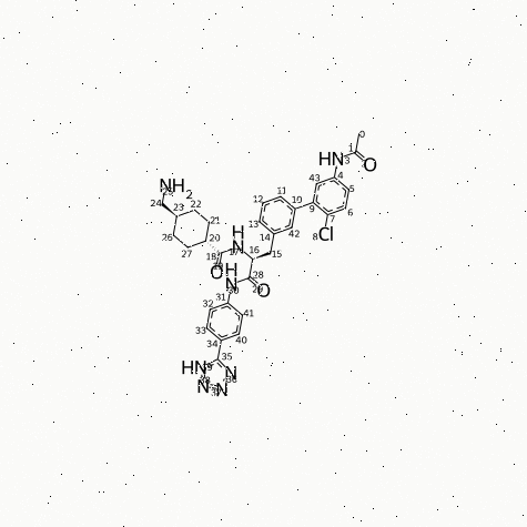 CC(=O)Nc1ccc(Cl)c(-c2cccc(C[C@H](NC(=O)[C@H]3CC[C@H](CN)CC3)C(=O)Nc3ccc(-c4nnn[nH]4)cc3)c2)c1